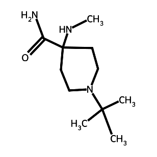 CNC1(C(N)=O)CCN(C(C)(C)C)CC1